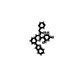 O=C(O)[C@H](Cc1ccccc1)N(Cc1cccc(-c2cc3ccccc3o2)c1)C(=O)c1ccc(Cl)cc1Cl